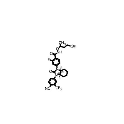 CC(CCC(C)(C)C)ONC(=O)c1ccc(N2C(=O)N(c3ccc(C#N)c(C(F)(F)F)c3)[C@@H]3CCCC[C@H]32)cc1F